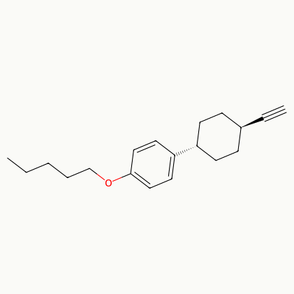 C#C[C@H]1CC[C@H](c2ccc(OCCCCC)cc2)CC1